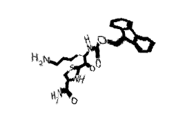 NCCCC[C@H](NC(=O)OCC1c2ccccc2-c2ccccc21)C(=O)C1NC(C(N)=O)CS1